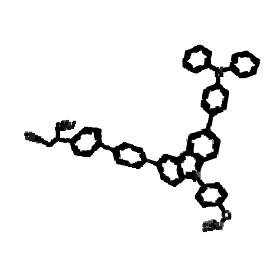 CC(C)(C)CC(c1ccc(-c2ccc(-c3ccc4c(c3)c3cc(-c5ccc(N(c6ccccc6)c6ccccc6)cc5)ccc3n4-c3ccc(OC(C)(C)C)cc3)cc2)cc1)C(C)(C)C